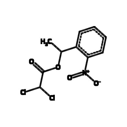 CC(OC(=O)C(Cl)Cl)c1ccccc1[N+](=O)[O-]